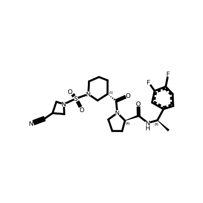 C[C@@H](NC(=O)[C@H]1CCCN1C(=O)[C@H]1CCCN(S(=O)(=O)N2CC(C#N)C2)C1)c1ccc(F)c(F)c1